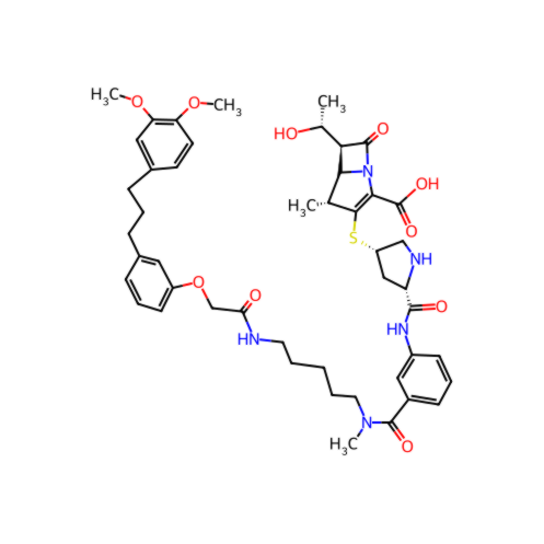 COc1ccc(CCCc2cccc(OCC(=O)NCCCCCN(C)C(=O)c3cccc(NC(=O)[C@@H]4C[C@H](SC5=C(C(=O)O)N6C(=O)[C@H]([C@@H](C)O)C6[C@H]5C)CN4)c3)c2)cc1OC